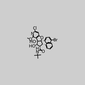 COc1nc(Cl)cc2c1[C@]1(O)[C@H](O)[C@H](C(=O)NC(C)(C)C)[C@@H](c3ccccc3)[C@]1(c1ccc(Br)cc1)O2